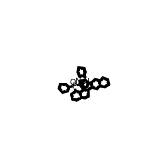 O=P(c1ccccc1)(c1ccccc1)c1cccc2ccc3c4cc5ccccc5cc4n4c5ccccc5nc4c3c12